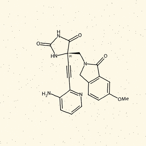 COc1ccc2c(c1)C(=O)N(C[C@@]1(C#Cc3ncccc3N)NC(=O)NC1=O)C2